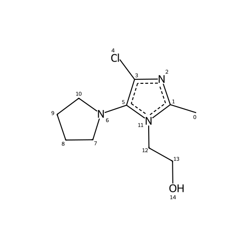 Cc1nc(Cl)c(N2CCCC2)n1CCO